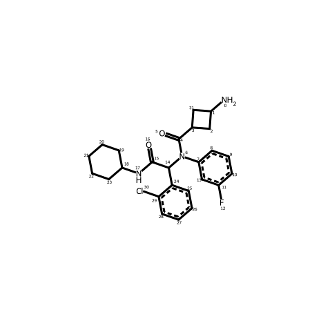 NC1CC(C(=O)N(c2cccc(F)c2)C(C(=O)NC2CCCCC2)c2ccccc2Cl)C1